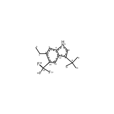 CCc1cc2[nH]cc(C(C)(C)C)c2cc1C(F)(F)F